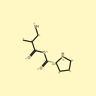 CC(CS)C(=O)OC(=O)[C@H]1CCCN1